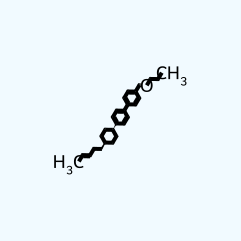 CC=CCC[C@H]1CC[C@H](c2ccc(-c3ccc(COCCC)cc3)cc2)CC1